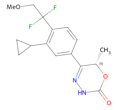 COCC(F)(F)c1ccc(C2=NNC(=O)O[C@H]2C)cc1C1CC1